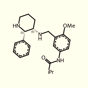 COc1ccc(NC(=O)C(C)C)cc1CN[C@H]1CCCN[C@H]1c1ccccc1